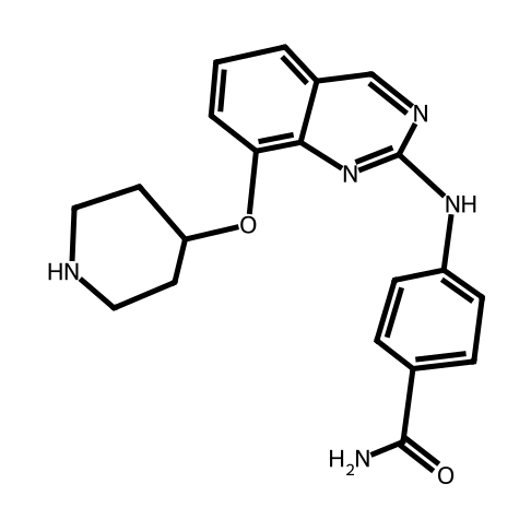 NC(=O)c1ccc(Nc2ncc3cccc(OC4CCNCC4)c3n2)cc1